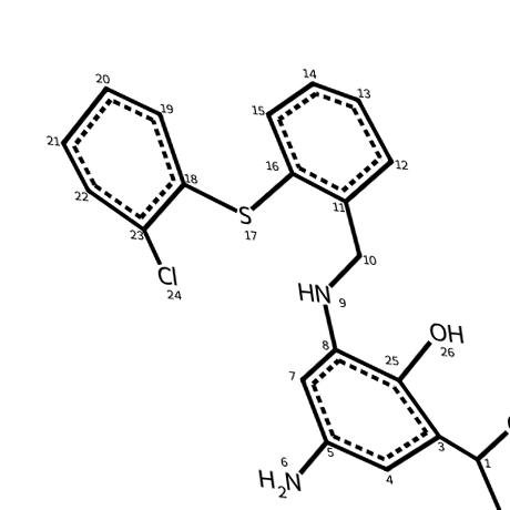 CC(O)c1cc(N)cc(NCc2ccccc2Sc2ccccc2Cl)c1O